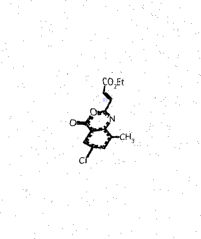 CCOC(=O)/C=C/c1nc2c(C)cc(Cl)cc2c(=O)o1